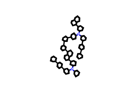 c1ccc(-c2ccc(-c3cccc(N(c4ccc(-c5cccc(-c6cccc(-c7cccc8c(-c9cccc(N(c%10ccccc%10)c%10cccc(-c%11ccc(-c%12ccccc%12)cc%11)c%10)c9)cccc78)c6)c5)cc4)c4cccc(-c5cccc6ccccc56)c4)c3)cc2)cc1